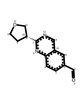 O=Cc1ccc2nc([C@@H]3CCOC3)ncc2c1